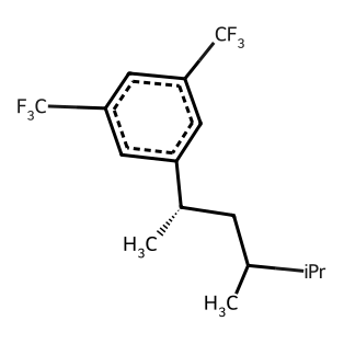 CC(C)C(C)C[C@H](C)c1cc(C(F)(F)F)cc(C(F)(F)F)c1